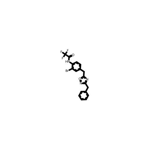 O=C(Nc1ccc(Cc2nc(Cc3ccccc3)no2)cc1Br)C(F)(F)F